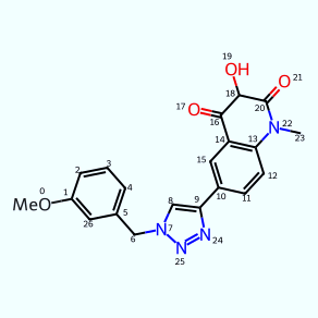 COc1cccc(Cn2cc(-c3ccc4c(c3)C(=O)C(O)C(=O)N4C)nn2)c1